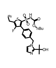 CCCCOC(=O)NS(=O)(=O)c1sc(CC(C)C)c(F)c1-c1ccc(Cn2ccnc2C(C)(C)O)cc1